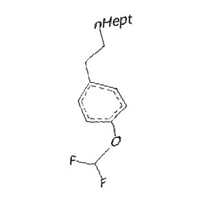 CCCCC[CH]CCCc1ccc(OC(F)F)cc1